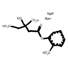 O=C(O)CC(O)(CC(=O)Oc1ccccc1C(=O)O)C(=O)O.[NaH].[NaH]